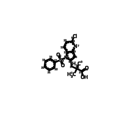 CC(C)(Cc1cc2nc(Cl)ccc2n1S(=O)(=O)c1ccccc1)C(=O)O